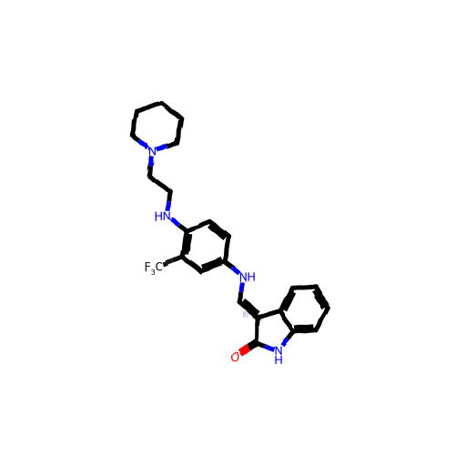 O=C1Nc2ccccc2/C1=C\Nc1ccc(NCCN2CCCCC2)c(C(F)(F)F)c1